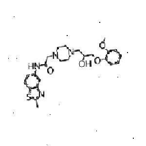 COc1ccccc1OCC(O)CN1CCN(CC(=O)Nc2ccc3sc(C)nc3c2)CC1